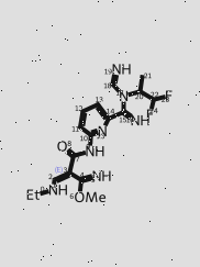 CCN/C=C(\C(=N)OC)C(=O)Nc1cccc(C(=N)N(C=N)C(C)C(F)F)n1